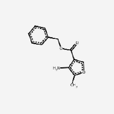 Cc1occ(C(=O)OCc2ccccc2)c1N